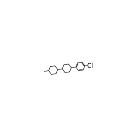 CC1CCC(C2CCC(c3ccc(Cl)cc3)CC2)CC1